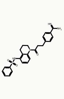 N=C(N)c1ccc(CCC(=O)N2CCCc3c(NS(=O)(=O)c4ccccc4)cccc32)cc1